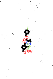 CC(C)C(NC(=O)c1ccc2c(c1C(F)(F)F)B(O)OC2)C(=O)OCc1ccc(F)cc1